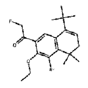 CCOc1c(C(=O)CF)cc2c(c1Br)C(C)(C)CC=C2C(C)(C)C